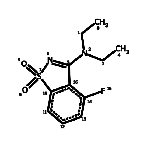 CCN(CC)C1=NS(=O)(=O)c2cccc(F)c21